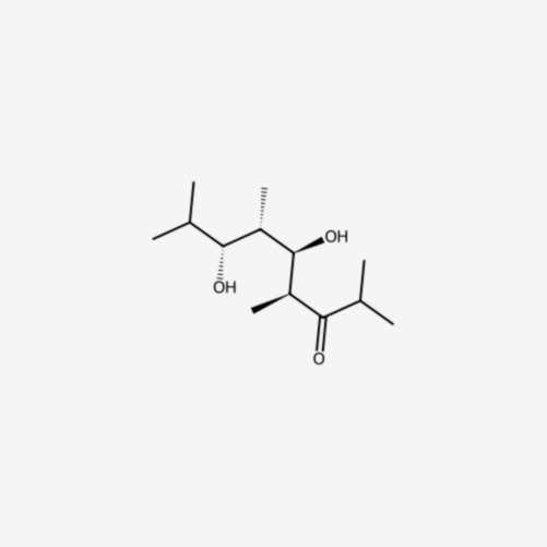 CC(C)C(=O)[C@@H](C)[C@H](O)[C@@H](C)[C@H](O)C(C)C